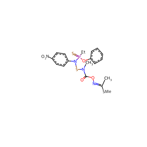 CCP(=S)(Oc1ccccc1)N(SN(C)C(=O)ON=C(C)SC)c1ccc([N+](=O)[O-])cc1